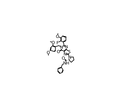 COc1ccc(Cn2c(-c3cccc(OC)c3F)nc3sc(N4CCC[C@@H]4C(=O)NCc4ccccc4)nc3c2=O)c(OC)c1